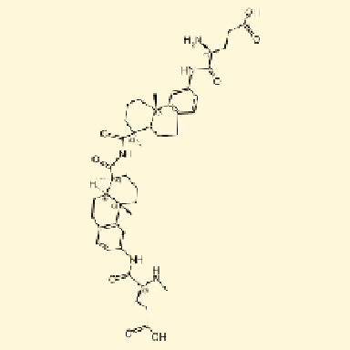 CN[C@@H](CCC(=O)O)C(=O)Nc1ccc2c(c1)[C@@]1(C)CCC[C@](C)(C(=O)NC(=O)[C@@]3(C)CCC[C@]4(C)c5cc(NC(=O)[C@@H](N)CCC(=O)O)ccc5CCC34)[C@@H]1CC2